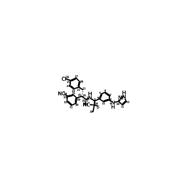 C[C@H](NC(c1cccc(Nc2cc[nH]n2)c1)C(C)(C)C#N)[C@@H](Cc1ccc(Cl)cc1)c1cccc(C#N)c1